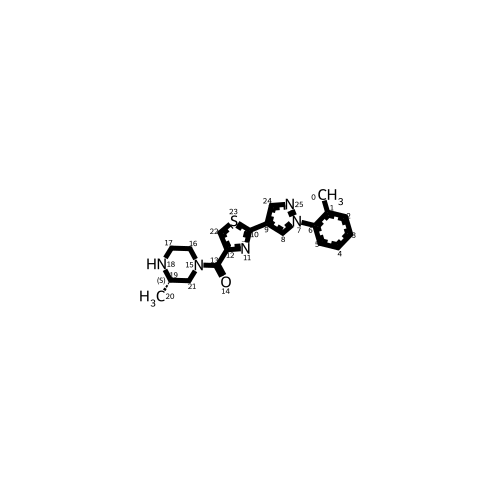 Cc1ccccc1-n1cc(-c2nc(C(=O)N3CCN[C@@H](C)C3)cs2)cn1